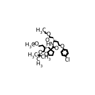 CCOC(=O)C[C@H](CCOc1ccc(Cl)cc1)NC(=O)C1(C[C@@H](CCOC)C(=O)OC(C)(C)C)CCCC1